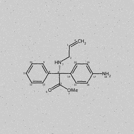 C=CCN[C@](C(=O)OC)(c1ccccc1)c1ccc(N)cc1